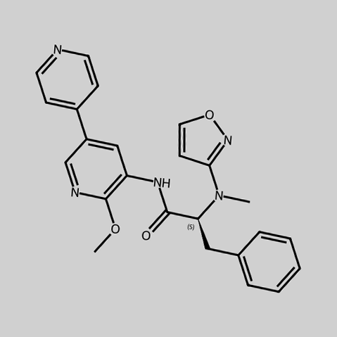 COc1ncc(-c2ccncc2)cc1NC(=O)[C@H](Cc1ccccc1)N(C)c1ccon1